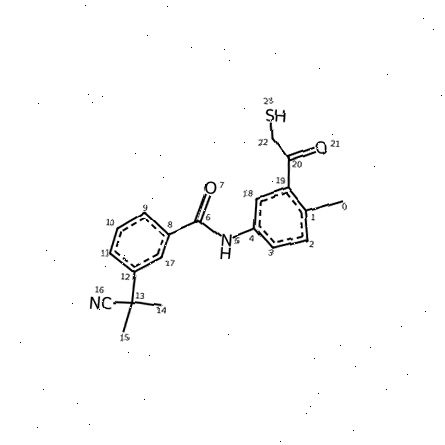 Cc1ccc(NC(=O)c2cccc(C(C)(C)C#N)c2)cc1C(=O)CS